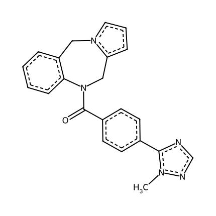 Cn1ncnc1-c1ccc(C(=O)N2Cc3cccn3Cc3ccccc32)cc1